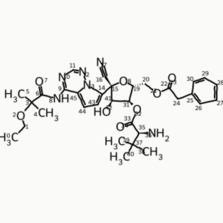 CCOC(C)(C)C(=O)Nc1ncnn2c([C@]3(C#N)O[C@H](COC(=O)Cc4ccccc4)[C@@H](OC(=O)[C@@H](N)C(C)(C)C)[C@H]3O)ccc12